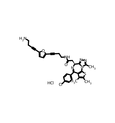 Cc1sc2c(c1C)C(c1ccc(Cl)cc1)=N[C@@H](CC(=O)NCCC#Cc1ccc(C#CCCN)o1)c1nnc(C)n1-2.Cl